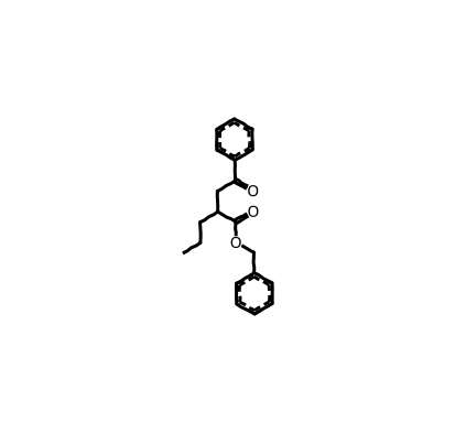 CCCC(CC(=O)c1ccccc1)C(=O)OCc1ccccc1